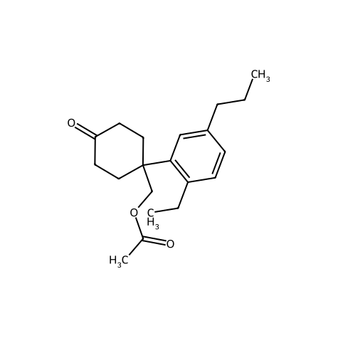 CCCc1ccc(CC)c(C2(COC(C)=O)CCC(=O)CC2)c1